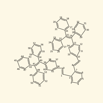 C(=Cc1ccccc1C=Cc1ccc(C(=C(c2ccccc2)c2ccccc2)c2ccccc2)cc1)c1ccc(C(=C(c2ccccc2)c2ccccc2)c2ccccc2)cc1